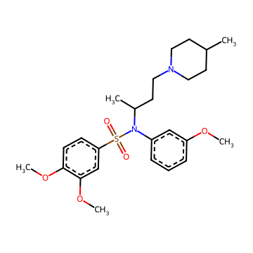 COc1cccc(N(C(C)CCN2CCC(C)CC2)S(=O)(=O)c2ccc(OC)c(OC)c2)c1